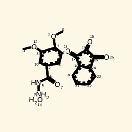 COc1ccc(C(=O)NN)cc1OC.O.O=c1c(=O)c2ccccc2c1=O